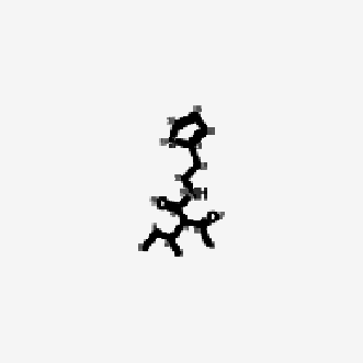 CCC(C)C(C(C)=O)C(=O)NCCc1cccs1